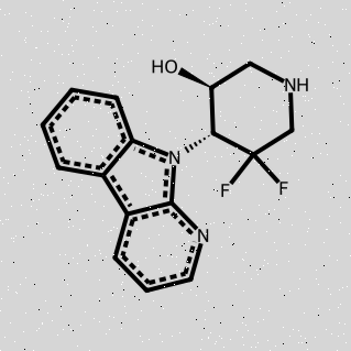 O[C@H]1CNCC(F)(F)[C@@H]1n1c2ccccc2c2cccnc21